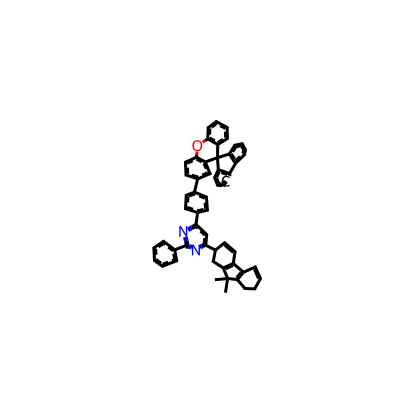 CC1(C)C2=C(C=CCC2)C2=C1CC(c1cc(-c3ccc(-c4ccc5c(c4)C4(c6ccccc6O5)c5ccccc5-c5ccccc54)cc3)nc(-c3ccccc3)n1)C=C2